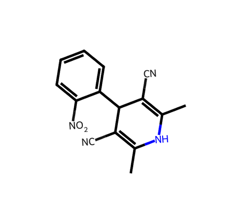 CC1=C(C#N)C(c2ccccc2[N+](=O)[O-])C(C#N)=C(C)N1